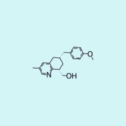 COc1ccc(C[C@H]2Cc3cc(C)cnc3[C@@H](CO)C2)cc1